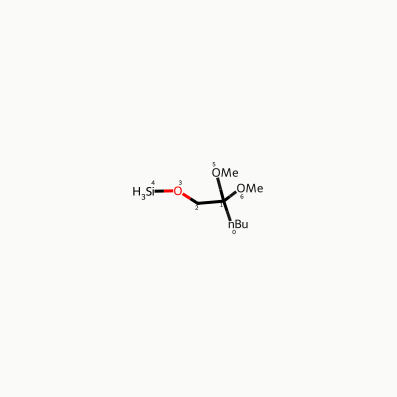 CCCCC(CO[SiH3])(OC)OC